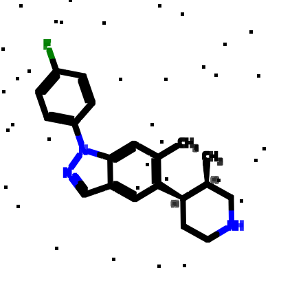 Cc1cc2c(cnn2-c2ccc(F)cc2)cc1[C@@H]1CCNC[C@@H]1C